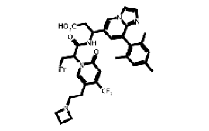 Cc1cc(C)c(-c2cc(C(CC(=O)O)NC(=O)C(CC(C)C)n3cc(CCN4CCC4)c(C(F)(F)F)cc3=O)cn3ccnc23)c(C)c1